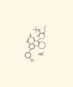 C=C1C=Nc2cc(-c3cccc(Cl)c3)cc(C3=CCCC[C@H](CO)C3)c2C(C(=C)CC[C@@H](C)N(CCC)C(=O)OC(C)(C)C)=C1